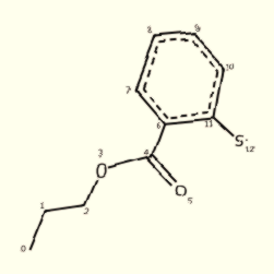 CCCOC(=O)c1ccccc1[S]